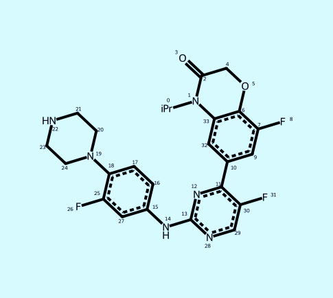 CC(C)N1C(=O)COc2c(F)cc(-c3nc(Nc4ccc(N5CCNCC5)c(F)c4)ncc3F)cc21